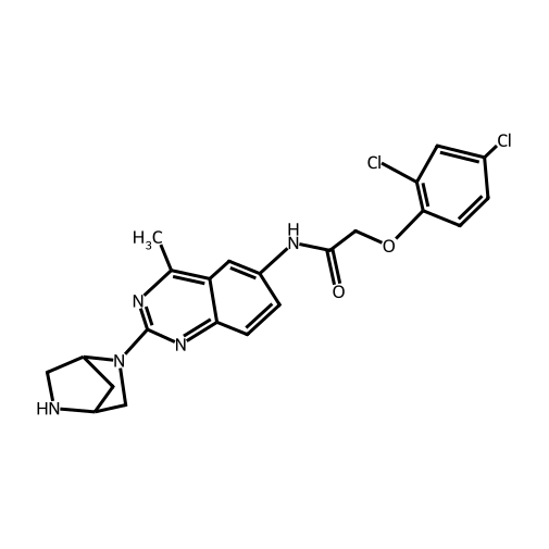 Cc1nc(N2CC3CC2CN3)nc2ccc(NC(=O)COc3ccc(Cl)cc3Cl)cc12